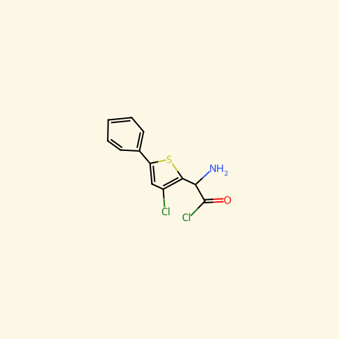 NC(C(=O)Cl)c1sc(-c2ccccc2)cc1Cl